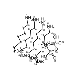 CCCCCCCCCCCCCCCCN.CCCCCCCCCCCCCCCCN.CCCCCCCCCCCCCCCCN.CCCCCCCCCCCCCCCCN.O=P(O)(O)OP(=O)(O)O